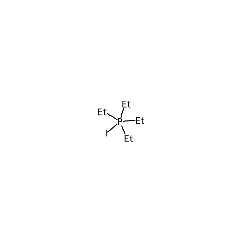 CCP(I)(CC)(CC)CC